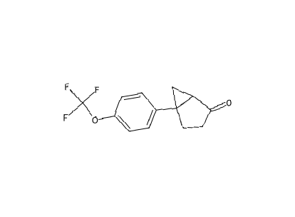 O=C1CCC2(c3ccc(OC(F)(F)F)cc3)CC12